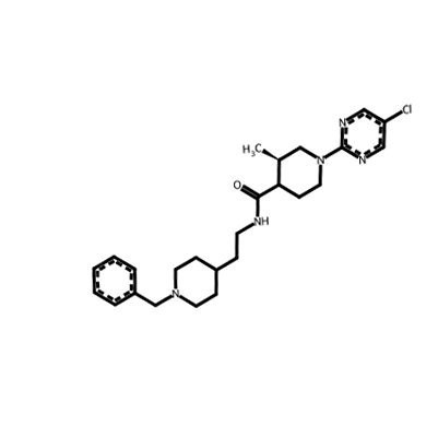 C[C@H]1CN(c2ncc(Cl)cn2)CCC1C(=O)NCCC1CCN(Cc2ccccc2)CC1